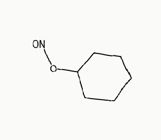 O=NOC1CCCCC1